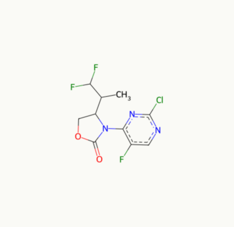 CC(C(F)F)C1COC(=O)N1c1nc(Cl)ncc1F